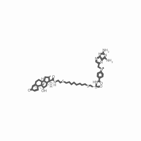 C[C@@H]1C[C@H]2C3CCC4=CC(=O)C=C[C@]4(C)[C@@]3(F)[C@@H](O)C[C@]2(C)[C@@]1(O)C(=O)NCCSCCCCCCCCSCC[C@@H](C=O)NC(=O)c1ccc(N(C)Cc2cnc3nc(N)nc(N)c3n2)cc1